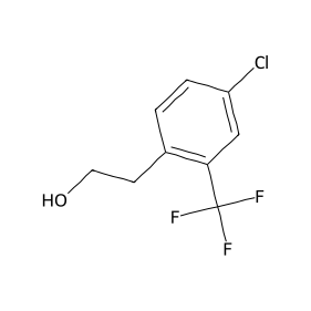 OCCc1ccc(Cl)cc1C(F)(F)F